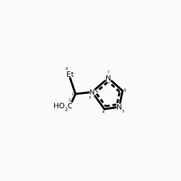 CCC(C(=O)O)n1cncn1